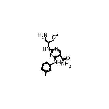 COCC(CN)Nc1ncc(C(N)=O)c(Nc2cccc(C)c2)n1